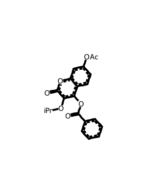 CC(=O)Oc1ccc2c(OC(=O)c3ccccc3)c(OC(C)C)c(=O)oc2c1